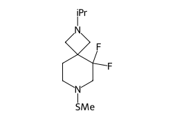 CSN1CCC2(CN(C(C)C)C2)C(F)(F)C1